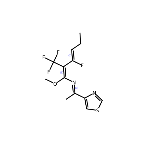 CC/C=C(F)/C(=C(\N=C(/C)c1cscn1)OC)C(F)(F)F